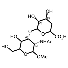 COC1OC(CO)C(O)[C@H](OC2OC(C(=O)O)C[C@H](O)[C@@H]2O)[C@@H]1NC(C)=O